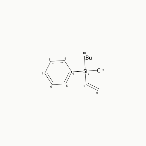 C=C[Si](Cl)(c1ccccc1)C(C)(C)C